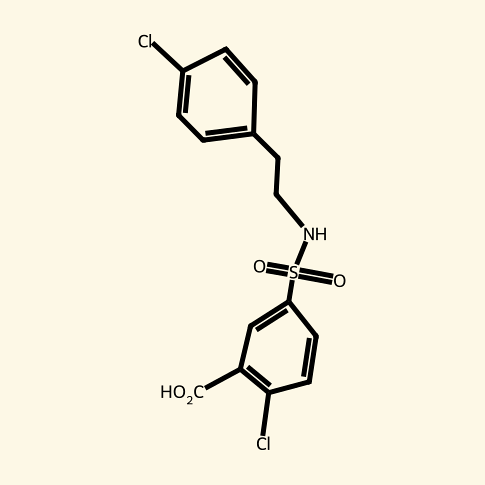 O=C(O)c1cc(S(=O)(=O)NCCc2ccc(Cl)cc2)ccc1Cl